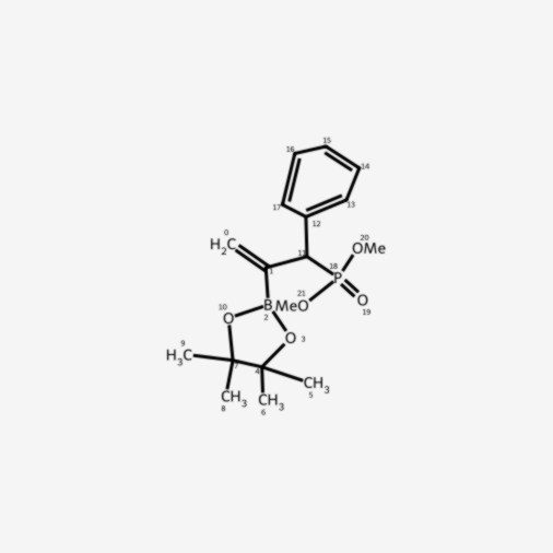 C=C(B1OC(C)(C)C(C)(C)O1)C(c1ccccc1)P(=O)(OC)OC